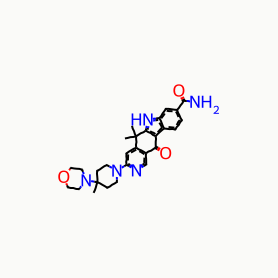 CC1(C)c2cc(N3CCC(C)(N4CCOCC4)CC3)ncc2C(=O)c2c1[nH]c1cc(C(N)=O)ccc21